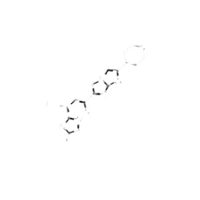 Cc1cn2nc(-c3cn4cc(C5CCNCC5)nc4s3)cc(C)c2n1